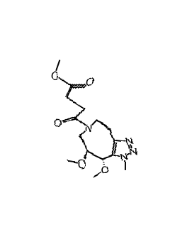 COC(=O)CCC(=O)N1CCc2nnn(C)c2[C@H](OC)[C@@H](OC)C1